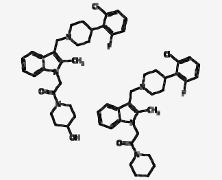 Cc1c(CN2CCC(c3c(F)cccc3Cl)CC2)c2ccccc2n1CC(=O)N1CCC(O)CC1.Cc1c(CN2CCC(c3c(F)cccc3Cl)CC2)c2ccccc2n1CC(=O)N1CCCCC1